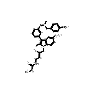 COc1ccc(CN(C)Sc2cccc(-c3c(C)n(C/C(F)=C/CNC(=O)OC(C)(C)C)c4ccc(C(=O)O)cc34)c2)cc1